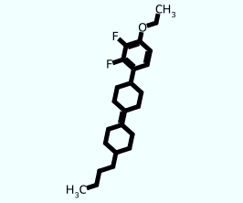 CCCCC1CCC(=C2CCC(c3ccc(OCC)c(F)c3F)CC2)CC1